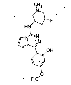 CN1C[C@H](F)C[C@@H](Nc2nnc(-c3ccc(OC(F)(F)F)cc3O)c3cccn23)C1